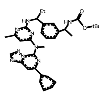 CCC(Nc1nc(C)cc(N(C)c2nc(-c3ccccc3)cc3ncnn23)n1)c1cccc(C(C)NC(=O)OC(C)(C)C)c1